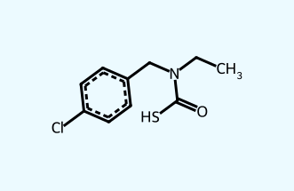 CCN(Cc1ccc(Cl)cc1)C(=O)S